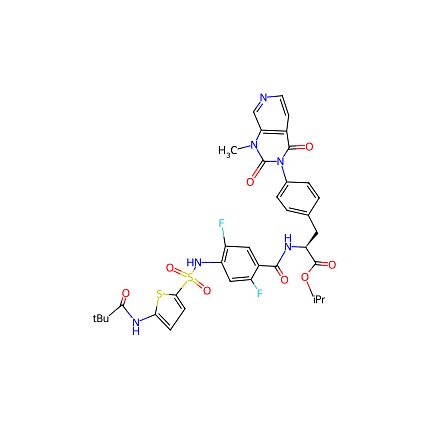 CC(C)OC(=O)[C@H](Cc1ccc(-n2c(=O)c3ccncc3n(C)c2=O)cc1)NC(=O)c1cc(F)c(NS(=O)(=O)c2ccc(NC(=O)C(C)(C)C)s2)cc1F